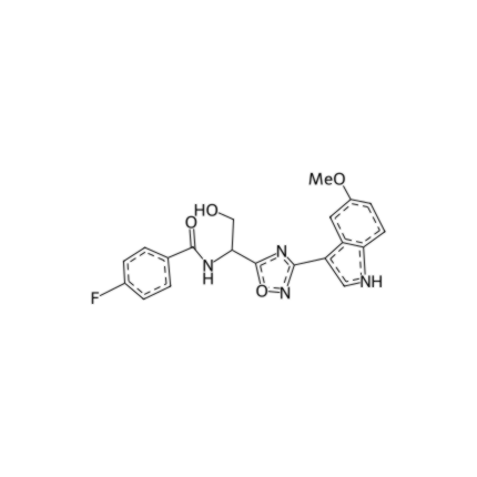 COc1ccc2[nH]cc(-c3noc(C(CO)NC(=O)c4ccc(F)cc4)n3)c2c1